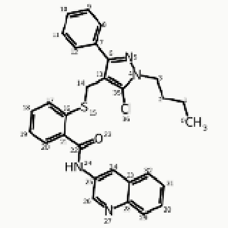 CCCCn1nc(-c2ccccc2)c(CSc2ccccc2C(=O)Nc2cnc3ccccc3c2)c1Cl